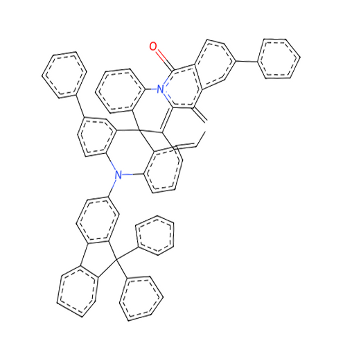 C=c1c2n(c(=O)c3ccc(-c4ccccc4)cc13)-c1ccccc1C1(C=2/C=C\C)c2ccccc2N(c2ccc3c(c2)C(c2ccccc2)(c2ccccc2)c2ccccc2-3)c2ccc(-c3ccccc3)cc21